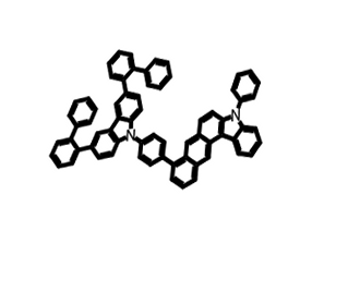 c1ccc(-c2ccccc2-c2ccc3c(c2)c2cc(-c4ccccc4-c4ccccc4)ccc2n3-c2ccc(-c3cccc4cc5c(ccc6c5c5ccccc5n6-c5ccccc5)cc34)cc2)cc1